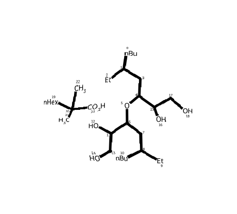 CCCCC(CC)CC(OC(CC(CC)CCCC)C(O)CO)C(O)CO.CCCCCCC(C)(C)C(=O)O